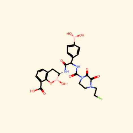 O=C(O)c1cccc2c1OB(O)[C@@H](NC(=O)C(NC(=O)N1CCN(CCF)C(=O)C1=O)c1ccc(B(O)O)cc1)C2